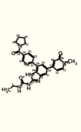 CCNC(=O)Nc1nc2cc(-c3ccn(C)c(=O)c3)cc(-c3ccc(C(=O)N4CCCC4)cn3)c2[nH]1